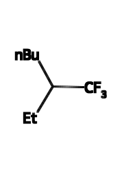 CCCCC(CC)C(F)(F)F